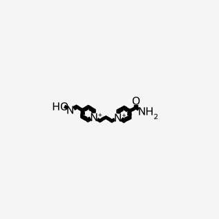 NC(=O)c1cc[n+](CCC[n+]2ccc(/C=N/O)cc2)cc1